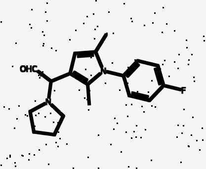 Cc1cc(C(C=O)N2CCCC2)c(C)n1-c1ccc(F)cc1